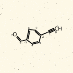 C#Cc1ccc([C]=O)cc1